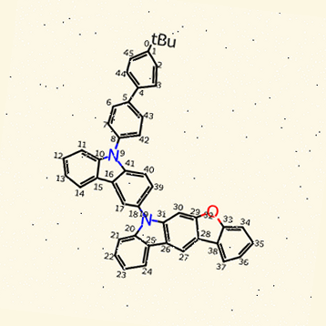 CC(C)(C)c1ccc(-c2ccc(-n3c4ccccc4c4cc(-n5c6ccccc6c6cc7c(cc65)oc5ccccc57)ccc43)cc2)cc1